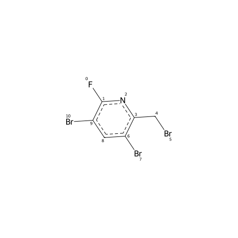 Fc1nc(CBr)c(Br)cc1Br